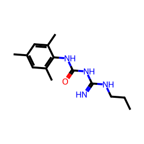 CCCNC(=N)NC(=O)Nc1c(C)cc(C)cc1C